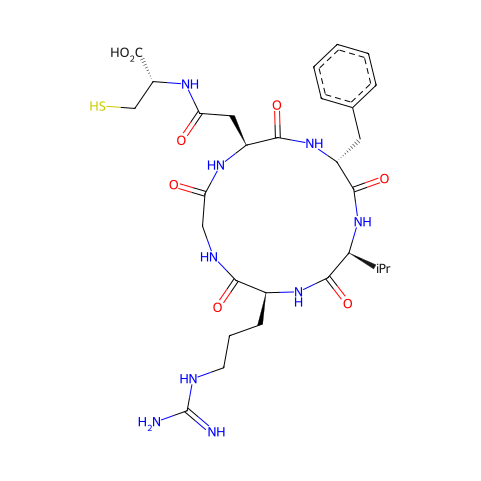 CC(C)[C@@H]1NC(=O)[C@@H](Cc2ccccc2)NC(=O)[C@H](CC(=O)N[C@H](CS)C(=O)O)NC(=O)CNC(=O)[C@H](CCCNC(=N)N)NC1=O